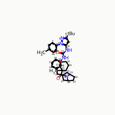 Cc1ccc(-n2nc(C(C)(C)C)cc2NC(=O)Nc2cccc(CC3CC4CCC(C3)N4C(=O)C3(C)CCCCC3)c2)cc1